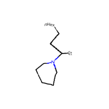 CCCCCCCCC(CC)N1CCCCC1